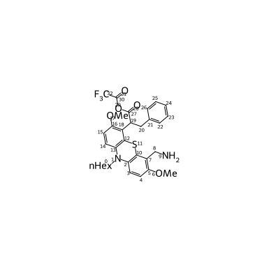 CCCCCCN1c2ccc(OC)c(CN)c2Sc2c1ccc(OC)c2C(Cc1ccccc1)C(=O)OC(=O)C(F)(F)F